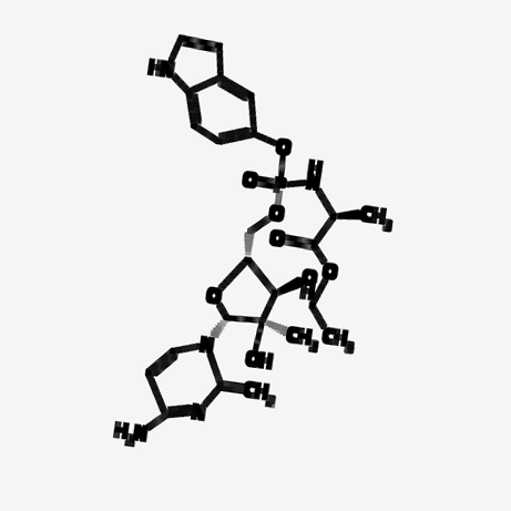 C=C1N=C(N)C=CN1[C@@H]1O[C@H](COP(=O)(N[C@@H](C)C(=O)OCC)Oc2ccc3[nH]ccc3c2)[C@@H](O)[C@@]1(C)O